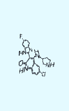 O=c1[nH]c2ccc(Cl)cc2c(N[C@H]2CCNC2)c1-c1nc2ccc(F)cc2[nH]1